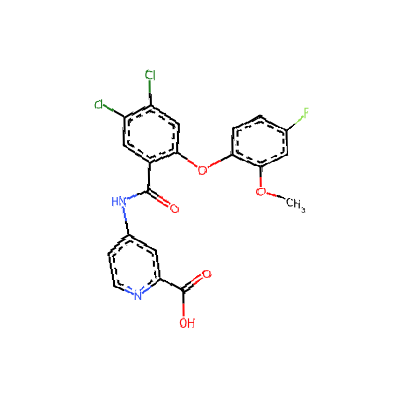 COc1cc(F)ccc1Oc1cc(Cl)c(Cl)cc1C(=O)Nc1ccnc(C(=O)O)c1